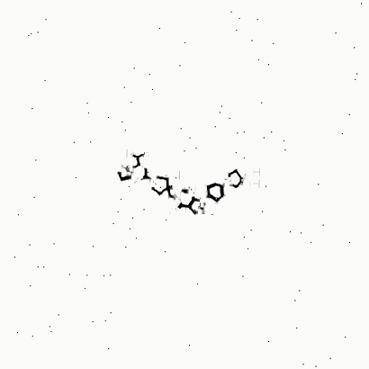 C[C@@]1(O)CCN(c2ccc(-n3ncc4c(=O)n(CC5(O)CCN(C(=O)C[C@H](C(F)F)n6cccn6)CC5)cnc43)cc2)C1